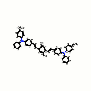 COc1ccc(N(c2ccccc2)c2ccc(C=Cc3cc(C#N)c(C=Cc4ccc(N(c5ccccc5)c5ccc(C)cc5)cc4)cc3C#N)cc2)cc1